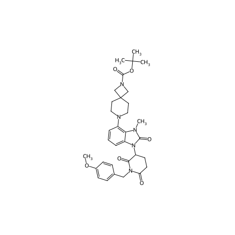 COc1ccc(CN2C(=O)CCC(n3c(=O)n(C)c4c(N5CCC6(CC5)CN(C(=O)OC(C)(C)C)C6)cccc43)C2=O)cc1